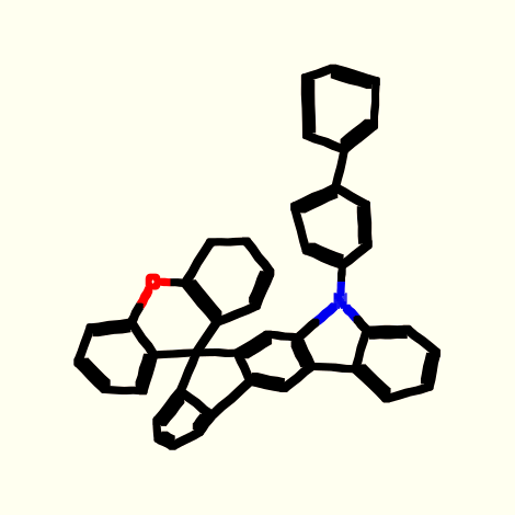 C1=CC2=C(CC1)Oc1ccccc1C21c2ccccc2-c2cc3c4ccccc4n(-c4ccc(-c5ccccc5)cc4)c3cc21